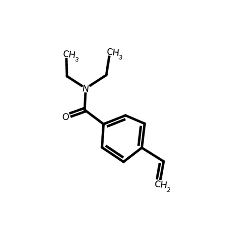 C=Cc1ccc(C(=O)N(CC)CC)cc1